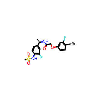 C[C@@H](NC(=O)COc1ccc(C(C)(C)C)c(F)c1)c1ccc(NS(C)(=O)=O)c(F)c1